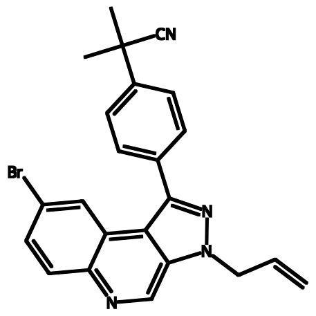 C=CCn1nc(-c2ccc(C(C)(C)C#N)cc2)c2c3cc(Br)ccc3ncc21